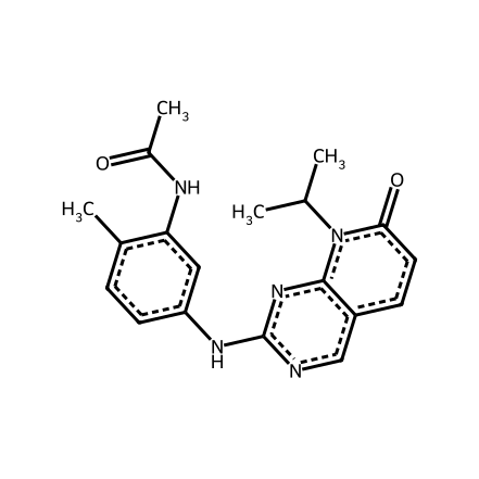 CC(=O)Nc1cc(Nc2ncc3ccc(=O)n(C(C)C)c3n2)ccc1C